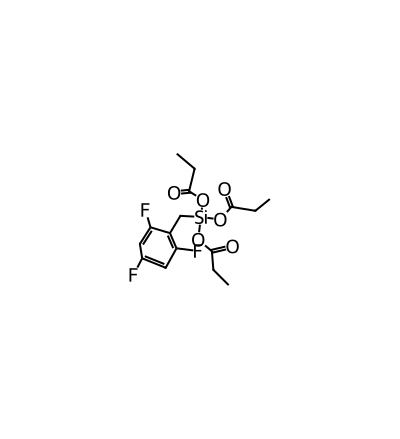 CCC(=O)O[Si](Cc1c(F)cc(F)cc1F)(OC(=O)CC)OC(=O)CC